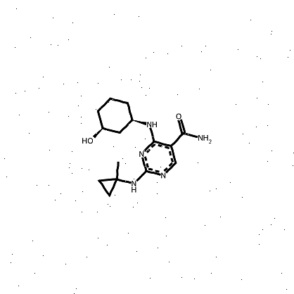 CC1(Nc2ncc(C(N)=O)c(N[C@@H]3CCC[C@H](O)C3)n2)CC1